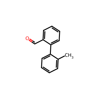 Cc1ccccc1-c1ccccc1C=O